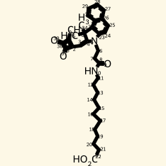 Cc1c(/C=C2/N(CCC(=O)NCCCCCCCCCCCC(=O)O)c3ccc4ccccc4c3C2(C)C)c(=O)c1=O